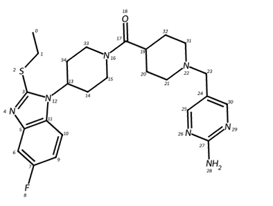 CCSc1nc2cc(F)ccc2n1C1CCN(C(=O)C2CCN(Cc3cnc(N)nc3)CC2)CC1